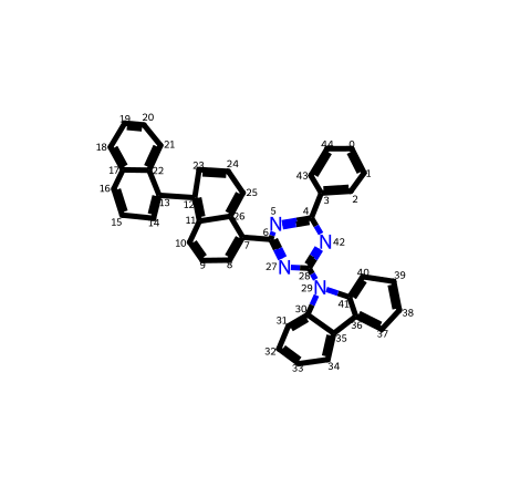 c1ccc(-c2nc(-c3cccc4c(-c5cccc6ccccc56)cccc34)nc(-n3c4ccccc4c4ccccc43)n2)cc1